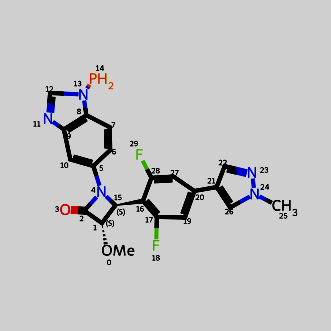 CO[C@@H]1C(=O)N(c2ccc3c(c2)ncn3P)[C@H]1c1c(F)cc(-c2cnn(C)c2)cc1F